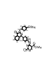 COC(=O)c1cnc(Cl)nc1Nc1ccc(-c2nn(Cc3ccc(OC)cc3)c(=O)c3ccccc23)cc1